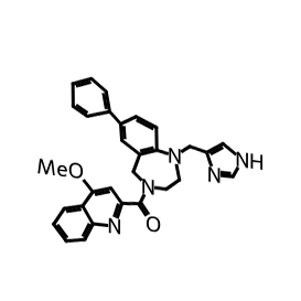 COc1cc(C(=O)N2CCN(Cc3c[nH]cn3)c3ccc(-c4ccccc4)cc3C2)nc2ccccc12